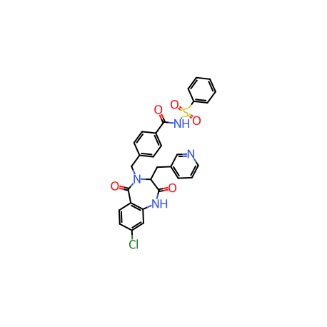 O=C(NS(=O)(=O)c1ccccc1)c1ccc(CN2C(=O)c3ccc(Cl)cc3NC(=O)C2Cc2cccnc2)cc1